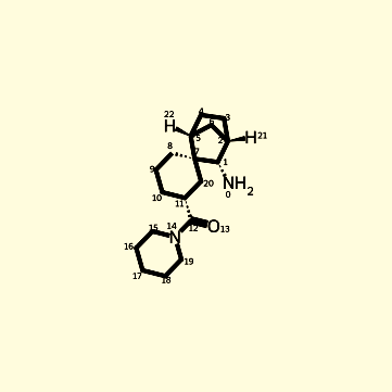 N[C@H]1[C@H]2CC[C@H](C2)[C@@]12CCC[C@@H](C(=O)N1CCCCC1)C2